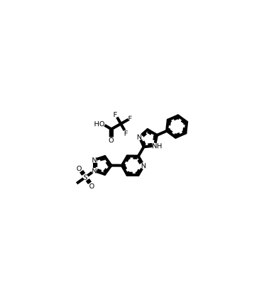 CS(=O)(=O)n1cc(-c2ccnc(-c3ncc(-c4ccccc4)[nH]3)c2)cn1.O=C(O)C(F)(F)F